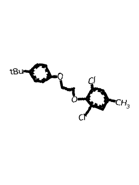 Cc1cc(Cl)c(OCCOc2ccc(C(C)(C)C)cc2)c(Cl)c1